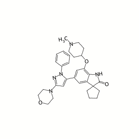 CN1CCC(Oc2cc(-c3cc(N4CCOCC4)nn3-c3ccccc3)cc3c2NC(=O)C32CCCC2)CC1